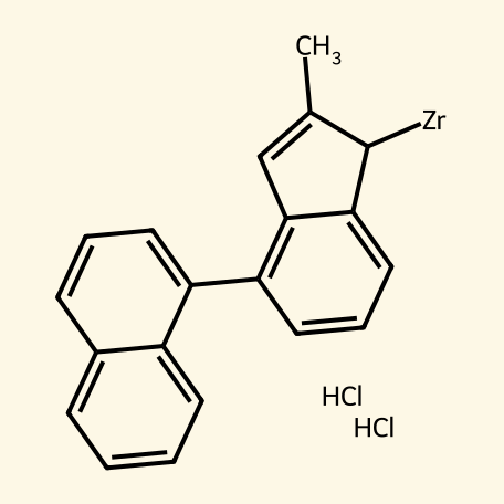 CC1=Cc2c(-c3cccc4ccccc34)cccc2[CH]1[Zr].Cl.Cl